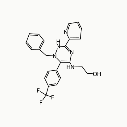 OCCNC1=C(c2ccc(C(F)(F)F)cc2)N(Cc2ccccc2)NC(c2ccccn2)=N1